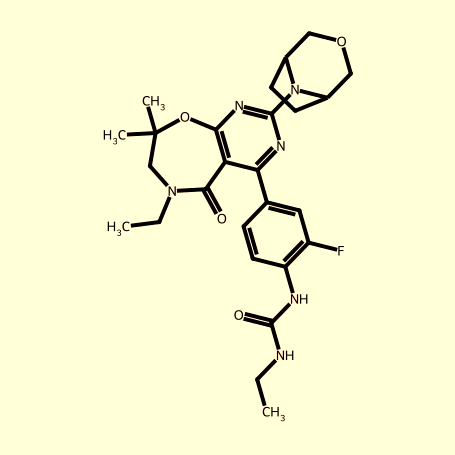 CCNC(=O)Nc1ccc(-c2nc(N3C4CCC3COC4)nc3c2C(=O)N(CC)CC(C)(C)O3)cc1F